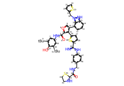 CC(C)(C)c1cc(NC(=O)c2occ(-c3cccc4[nH]n(Cc5cccs5)c34)c2-c2ccc(C(=N)Nc3ccc(CNC(=O)C4NCCS4)cc3)s2)cc(C(C)(C)C)c1O